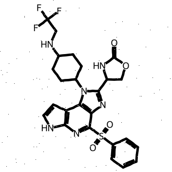 O=C1NC(c2nc3c(S(=O)(=O)c4ccccc4)nc4[nH]ccc4c3n2C2CCC(NCC(F)(F)F)CC2)CO1